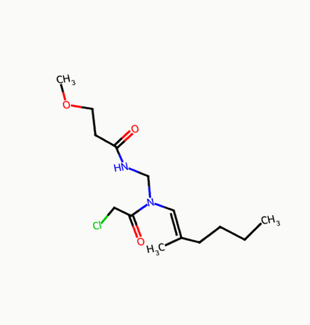 CCCCC(C)=CN(CNC(=O)CCOC)C(=O)CCl